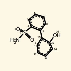 NS(=O)(=O)c1ccccc1-c1ccccc1O